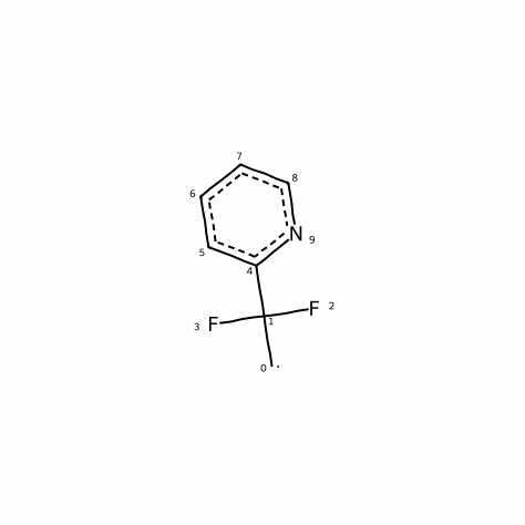 [CH2]C(F)(F)c1ccccn1